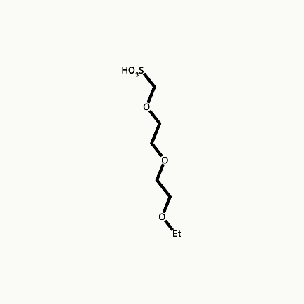 CCOCCOCCOCS(=O)(=O)O